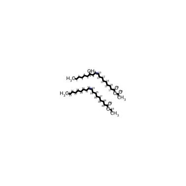 CCCCCCC(O)C/C=C\CCCCCCCC(=O)OC(C)=O.CCCCCCCC/C=C\CCCCCCCC(=O)OCC